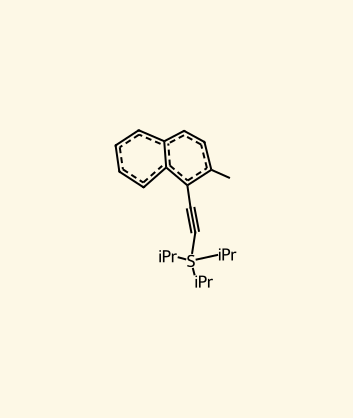 Cc1ccc2ccccc2c1C#CS(C(C)C)(C(C)C)C(C)C